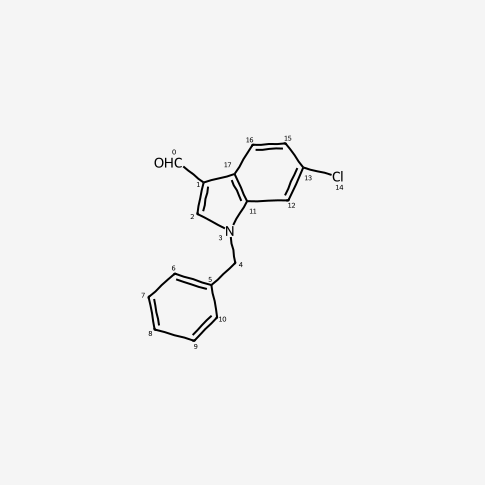 O=Cc1cn(Cc2ccccc2)c2cc(Cl)ccc12